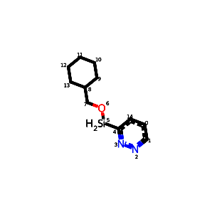 c1cnnc([SiH2]OCC2CCCCC2)c1